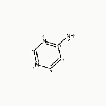 [NH]c1ccncn1